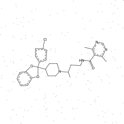 Cc1ncnc(C)c1C(=O)NCCC(C)N1CCC(C2(c3ccc(Cl)cc3)Oc3ccccc3O2)CC1